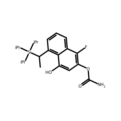 CC(C)[Si](C(C)C)(C(C)C)C(C)c1cccc2c(F)c(OC(N)=O)cc(O)c12